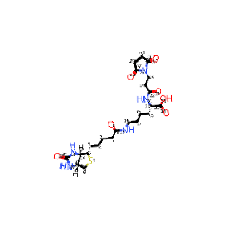 O=C(CCCC[C@@H]1SC[C@@H]2NC(=O)N[C@@H]21)NCCCC[C@H](NC(=O)CCN1C(=O)C=CC1=O)C(=O)O